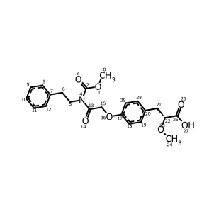 COC(=O)N(CCc1ccccc1)C(=O)COc1ccc(C[C@H](OC)C(=O)O)cc1